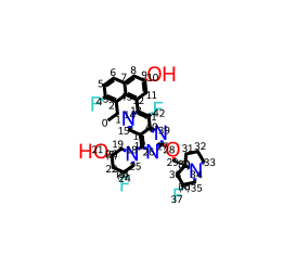 CCc1c(F)ccc2cc(O)cc(-c3ncc4c(N5C[C@@H](O)C[C@H](F)C5)nc(OC[C@@]56CCCN5C[C@H](F)C6)nc4c3F)c12